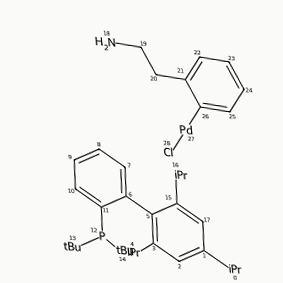 CC(C)c1cc(C(C)C)c(-c2ccccc2P(C(C)(C)C)C(C)(C)C)c(C(C)C)c1.NCCc1cccc[c]1[Pd][Cl]